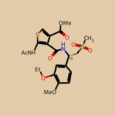 CCOc1cc([C@@H](CS(C)(=O)=O)NC(=O)c2c(C(=O)OC)csc2NC(C)=O)ccc1OC